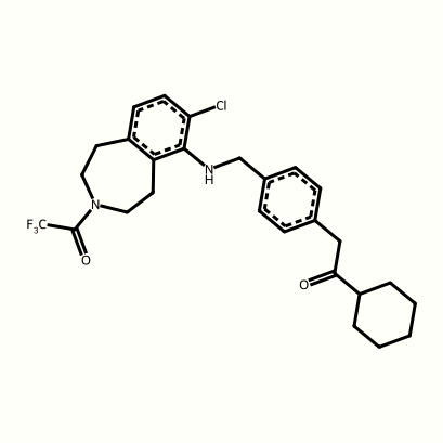 O=C(Cc1ccc(CNc2c(Cl)ccc3c2CCN(C(=O)C(F)(F)F)CC3)cc1)C1CCCCC1